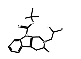 CC1Cc2c(n(C(=O)OC(C)(C)C)c3ccccc23)CN1CC(F)F